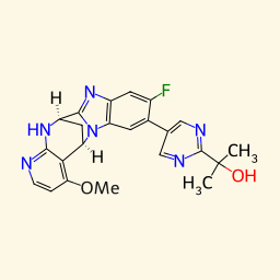 COc1ccnc2c1[C@H]1C[C@@H](N2)c2nc3cc(F)c(-c4cnc(C(C)(C)O)nc4)cc3n21